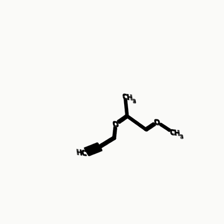 C#CCOC(C)COC